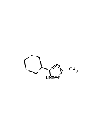 Cc1cc(C2CCCCC2)[nH]n1